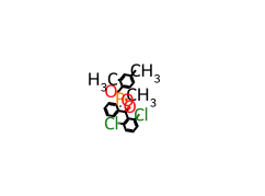 Cc1cc(C)c(C(=O)[P](=O)c2ccccc2C(=O)c2c(Cl)cccc2Cl)c(C)c1